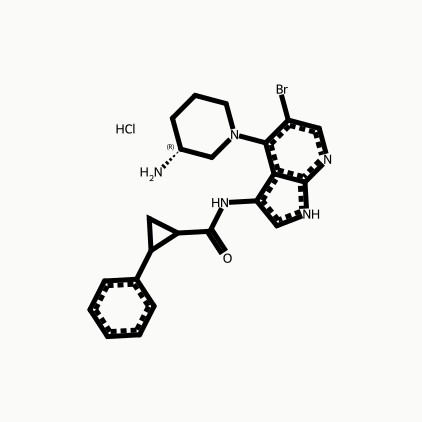 Cl.N[C@@H]1CCCN(c2c(Br)cnc3[nH]cc(NC(=O)C4CC4c4ccccc4)c23)C1